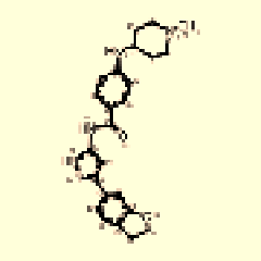 CN1CCC(Nc2ccc(C(=O)Nc3cc(-c4ccc5c(c4)OCC5)n[nH]3)cc2)CC1